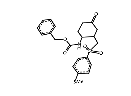 CSc1ccc(S(=O)(=O)CC2CC(=O)CCC2NC(=O)OCc2ccccc2)cc1